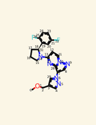 COCc1cnn(-c2cnn3ccc(N4CCC[C@H]4c4cc(F)ccc4F)nc23)c1